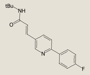 CC(C)(C)NC(=O)/C=C/c1ccc(-c2ccc(F)cc2)nc1